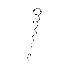 CCOCCCCCOCCNCc1ccccc1